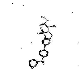 CC(C)[C@H](C(=O)NO)N1Cc2sc(-c3ccc(C(=O)c4ccccc4)cc3)cc2S1(=O)=O